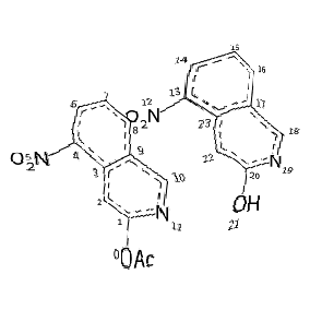 CC(=O)Oc1cc2c([N+](=O)[O-])cccc2cn1.O=[N+]([O-])c1cccc2cnc(O)cc12